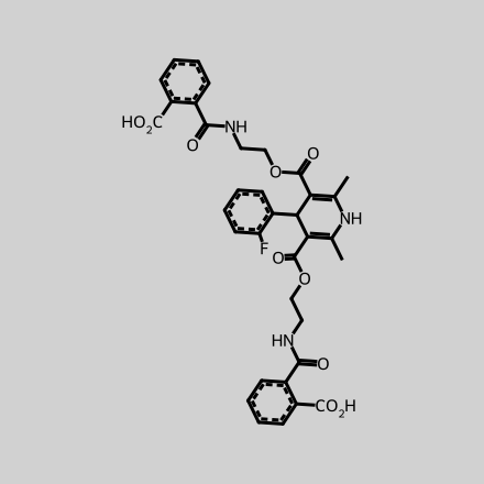 CC1=C(C(=O)OCCNC(=O)c2ccccc2C(=O)O)C(c2ccccc2F)C(C(=O)OCCNC(=O)c2ccccc2C(=O)O)=C(C)N1